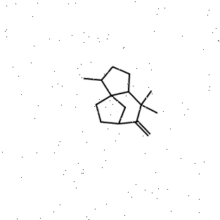 C=C1C2CCC3(C2)C(C)CCC3C1(C)C